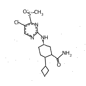 C[S+]([O-])c1nc(N[C@@H]2CCC(C3CCC3)C(C(N)=O)C2)ncc1Cl